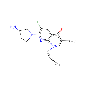 C=C=Cn1cc(C(=O)O)c(=O)c2cc(F)c(N3CCC(N)C3)nc21